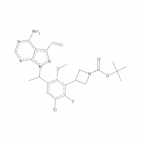 C=Cc1nn(C(C)c2cc(Cl)c(F)c(C3CN(C(=O)OC(C)(C)C)C3)c2OC)c2ncnc(N)c12